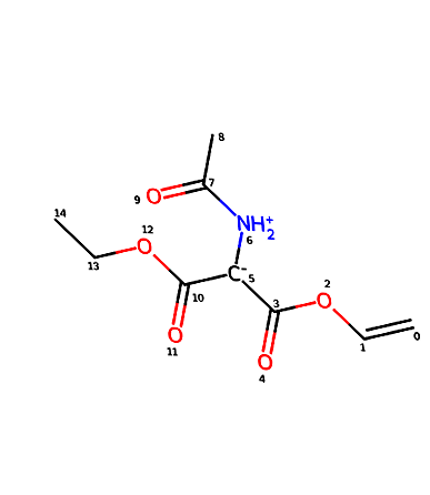 C=COC(=O)[C-]([NH2+]C(C)=O)C(=O)OCC